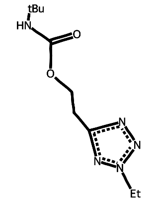 CCn1nnc(CCOC(=O)NC(C)(C)C)n1